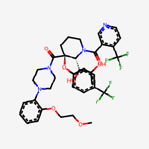 COCCOc1ccccc1N1CCN(C(=O)[C@]2(Oc3ccc(C(F)(F)F)cc3)CCCN(C(=O)c3cnccc3C(F)(F)F)[C@@H]2C(O)C(C)O)CC1